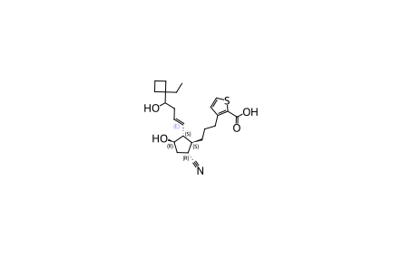 CCC1(C(O)C/C=C/[C@@H]2[C@@H](CCCc3ccsc3C(=O)O)[C@H](C#N)C[C@H]2O)CCC1